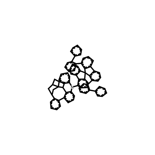 c1ccc(-c2ccccc2-c2cccc3c2C2(c4ccccc4-c4c(N(c5ccccc5)c5cccc6c5C5CC7CC8CC(CC875)c5ccccc5-6)cccc42)c2c(-c4ccccc4-c4ccccc4)cccc2-3)cc1